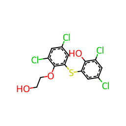 OCCOc1c(Cl)cc(Cl)cc1Sc1cc(Cl)cc(Cl)c1O